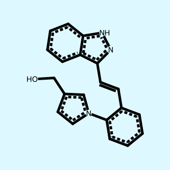 OCc1ccn(-c2ccccc2C=Cc2n[nH]c3ccccc23)c1